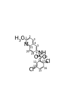 Cc1ccc2cc(NS(=O)(=O)c3cc(Cl)ccc3Cl)ccc2n1